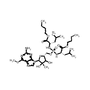 CCCCOC(=O)[C@H](CC(C)C)NP(=O)(N[C@@H](CC(C)C)C(=O)OCCCC)OC[C@H]1OC(n2cnc3c(OC)nc(N)nc32)[C@@](C)(O)C1O